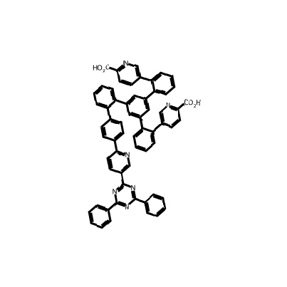 O=C(O)c1ccc(-c2ccccc2-c2cc(-c3ccccc3-c3ccc(-c4ccc(-c5nc(-c6ccccc6)nc(-c6ccccc6)n5)cn4)cc3)cc(-c3ccccc3-c3ccc(C(=O)O)nc3)c2)cn1